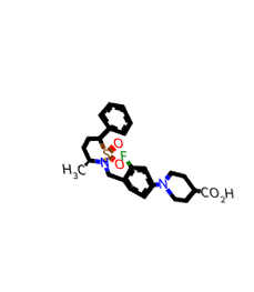 C[C@H]1CCC(c2ccccc2)S(=O)(=O)N1Cc1ccc(N2CCC(C(=O)O)CC2)cc1F